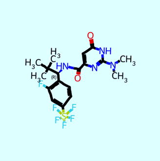 CN(C)c1nc(C(=O)N[C@@H](c2ccc(S(F)(F)(F)(F)F)cc2F)C(C)(C)C)cc(=O)[nH]1